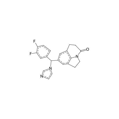 O=C1CCc2cc(C(c3ccc(F)c(F)c3)n3ccnc3)cc3c2N1CC3